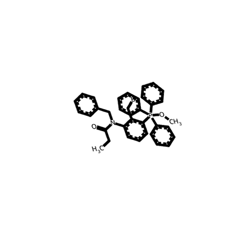 CCC(=O)N(Cc1ccccc1)c1cccc(P(OC)(c2ccccc2)(c2ccccc2)c2ccccc2)c1CBr